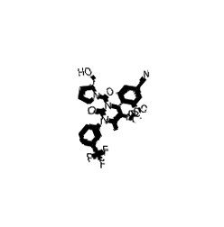 [C-]#[N+]C1=C(C)N(c2cccc(C(F)(F)F)c2)C(=O)N(C(=O)N2CCC[C@@H]2CO)[C@@H]1c1ccc(C#N)cc1S(C)(=O)=O